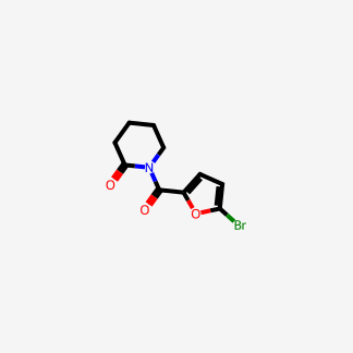 O=C1CCCCN1C(=O)c1ccc(Br)o1